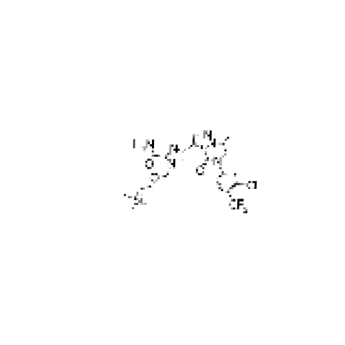 C[C@H]1CN(c2ccc(C(F)(F)F)c(Cl)c2)C(=O)c2c(-c3cn(COCC[Si](C)(C)C)c(C(N)=O)n3)cnn21